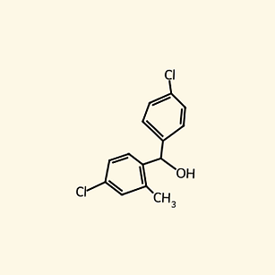 Cc1cc(Cl)ccc1C(O)c1ccc(Cl)cc1